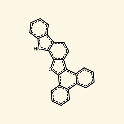 c1ccc2c(c1)[nH]c1c2ccc2c1oc1c3ccccc3c3ccccc3c21